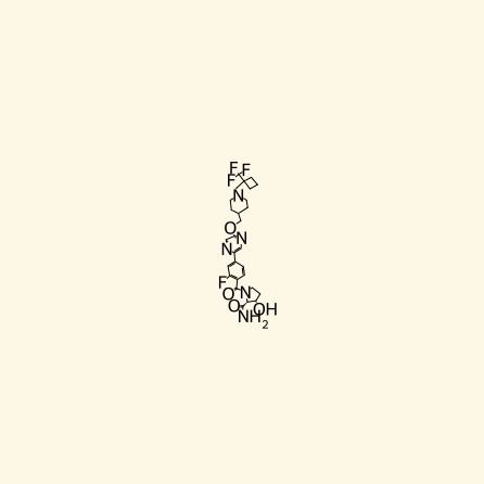 NC(=O)[C@@H]1[C@@H](O)CCN1C(=O)c1ccc(-c2cnc(OCC3CCN(CC4(C(F)(F)F)CCC4)CC3)cn2)cc1F